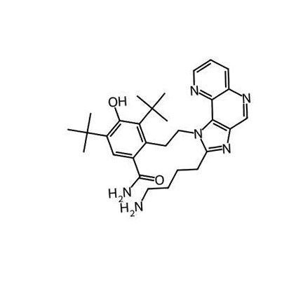 CC(C)(C)c1cc(C(N)=O)c(CCn2c(CCCCN)nc3cnc4cccnc4c32)c(C(C)(C)C)c1O